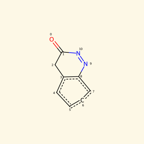 O=C1Cc2ccccc2N=N1